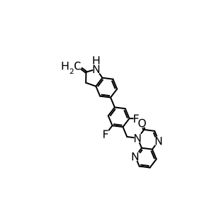 C=C1Cc2cc(-c3cc(F)c(Cn4c(=O)cnc5cccnc54)c(F)c3)ccc2N1